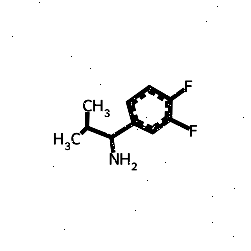 CC(C)C(N)c1ccc(F)c(F)c1